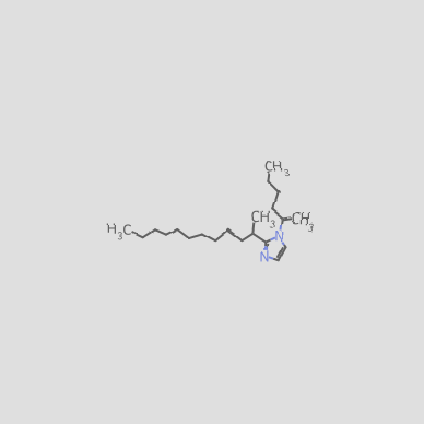 CCCCCCCCCCC(C)c1nccn1C(C)CCCC